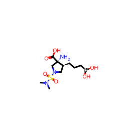 CN(C)S(=O)(=O)N1C[C@H](CCCB(O)O)[C@](N)(C(=O)O)C1